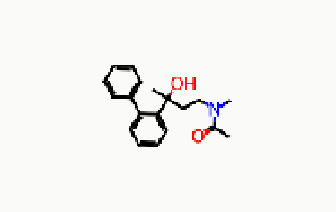 CC(=O)N(C)CCC(C)(O)c1ccccc1-c1ccccc1